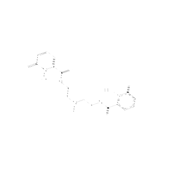 C=C1C=CC=C(C(=O)NCCN(C)CCNC(=O)c2cccc(=O)n2O)N1O